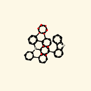 c1ccc(-c2ccccc2-c2c(-c3ccccc3)cccc2N(c2ccc(-c3cccc4oc5ccccc5c34)cc2)c2ccccc2-c2ccccc2)cc1